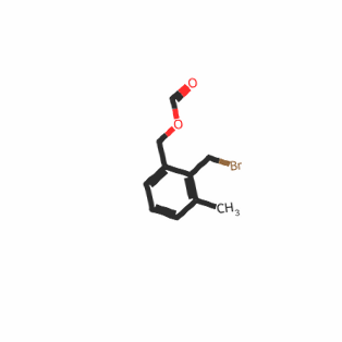 Cc1cccc(COC=O)c1CBr